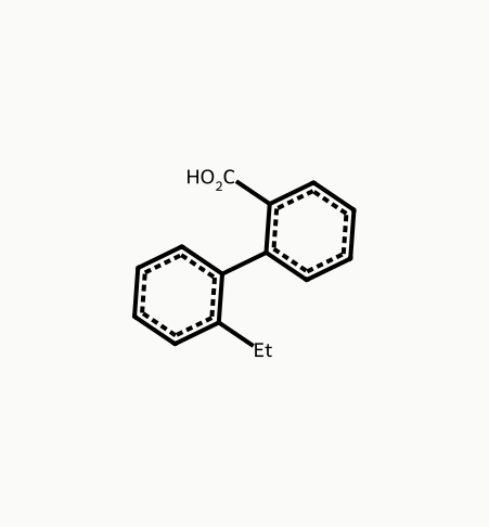 CCc1ccccc1-c1ccccc1C(=O)O